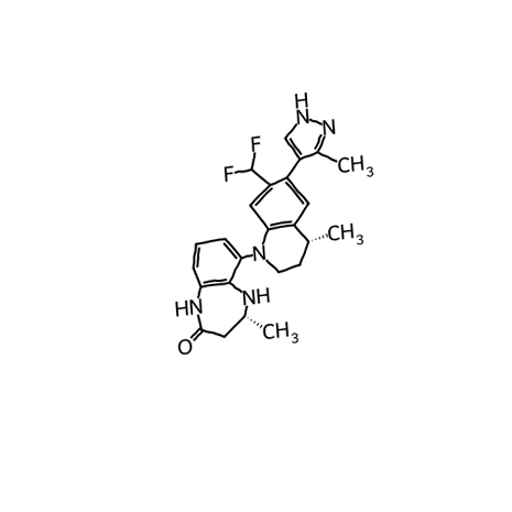 Cc1n[nH]cc1-c1cc2c(cc1C(F)F)N(c1cccc3c1N[C@H](C)CC(=O)N3)CC[C@H]2C